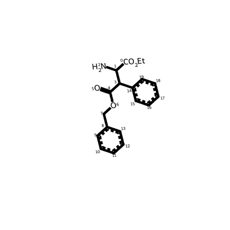 CCOC(=O)C(N)C(C(=O)OCc1ccccc1)c1ccccc1